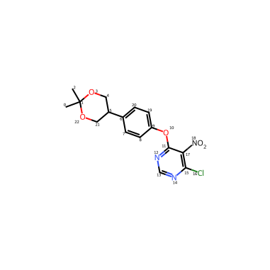 CC1(C)OCC(c2ccc(Oc3ncnc(Cl)c3[N+](=O)[O-])cc2)CO1